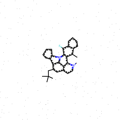 Cc1c2ccccc2c(F)c2c1c1c3c(cc[n+]1C)cc(CC(C)(C)C)c1c4ccccc4n2c13